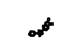 O=C1Cc2nc(-c3csc(-c4ccccc4)n3)ccc2N1